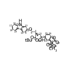 CC(C)(C)OC(=O)N(CCOc1ccc2c(c1)[nH]c1ccccc12)CC(O)c1ccc2oc(=O)n(S(C)(=O)=O)c2c1